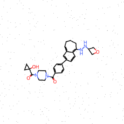 O=C(c1ccc(-c2ccc3c(c2)=CCCCC=3NNC2COC2)cc1)N1CCN(C(=O)C2(O)CC2)CC1